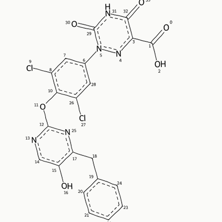 O=C(O)c1nn(-c2cc(Cl)c(Oc3ncc(O)c(Cc4ccccc4)n3)c(Cl)c2)c(=O)[nH]c1=O